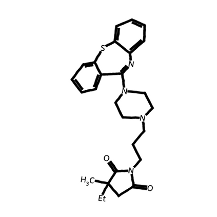 CCC1(C)CC(=O)N(CCCN2CCN(C3=Nc4ccccc4Sc4ccccc43)CC2)C1=O